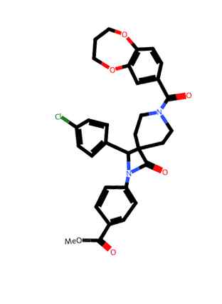 COC(=O)c1ccc(N2C(=O)C3(CCN(C(=O)c4ccc5c(c4)OCCCO5)CC3)C2c2ccc(Cl)cc2)cc1